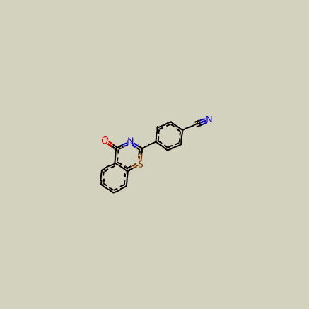 N#Cc1ccc(-c2nc(=O)c3ccccc3s2)cc1